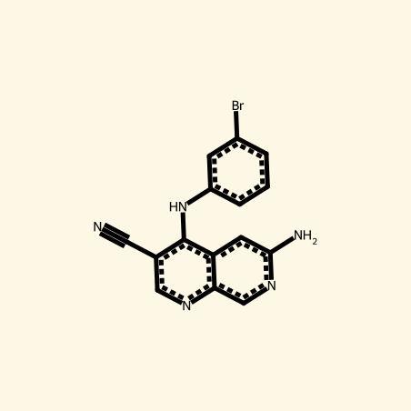 N#Cc1cnc2cnc(N)cc2c1Nc1cccc(Br)c1